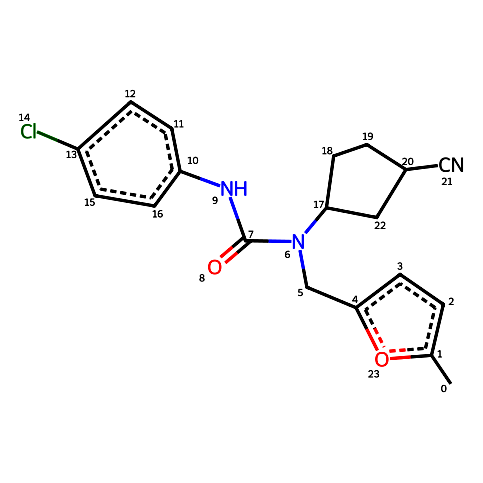 Cc1ccc(CN(C(=O)Nc2ccc(Cl)cc2)C2CCC(C#N)C2)o1